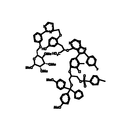 COc1ccc(C(OCC(COS(=O)(=O)c2ccc(C)cc2)Oc2ccc(-c3c(-c4ccc(F)cc4)sc4ncnc(OC(Cc5cc(O)ccc5OCc5ccnc(-c6cccc(OC[C@H]7O[C@H](OC)[C@@H](OC)[C@@H](OC)[C@@H]7OC)c6)n5)C(=O)O)c34)c(C)c2Cl)(c2ccccc2)c2ccc(OC)cc2)cc1